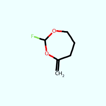 C=C1CCCOC(F)O1